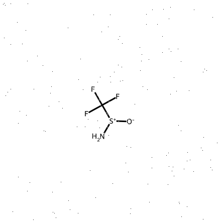 N[S+]([O-])C(F)(F)F